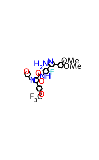 COc1ccc(-c2cnc(N)c(-c3ccc(NC(=O)c4cn(CC5CCOCC5)cc(-c5ccc(OC(F)(F)F)cc5)c4=O)cc3F)c2)cc1OC